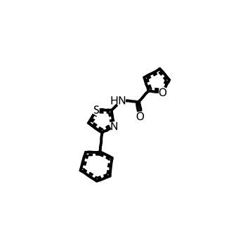 O=C(Nc1nc(-c2ccccc2)cs1)c1ccco1